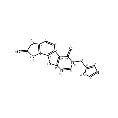 O=c1[nH]c2c(ccc3c2sc2ncn(Cc4cnco4)c(=O)c23)o1